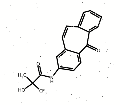 CC(O)(C(=O)Nc1ccc2c(=O)c3ccccc3ccc2c1)C(F)(F)F